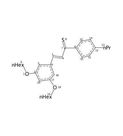 CCCCCCOc1cc(C=CC(=S)c2ccc(CCC)cc2)cc(OCCCCCC)c1